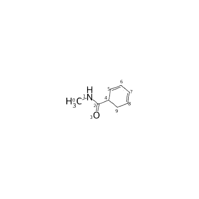 CNC(=O)C1C=CC=CC1